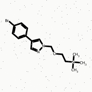 C[Si](C)(C)CCOCn1cc(-c2ccc(Br)cc2)cn1